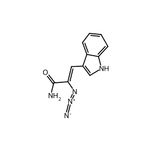 [N-]=[N+]=NC(=Cc1c[nH]c2ccccc12)C(N)=O